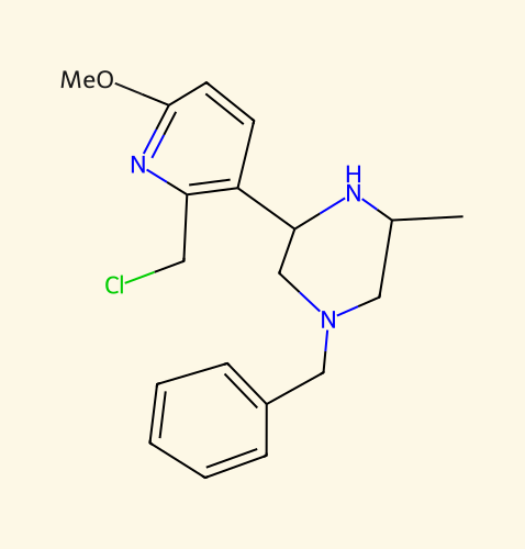 COc1ccc(C2CN(Cc3ccccc3)CC(C)N2)c(CCl)n1